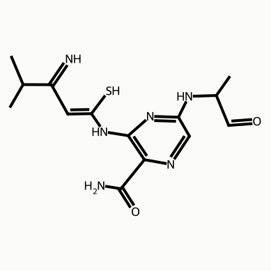 CC(C=O)Nc1cnc(C(N)=O)c(N/C(S)=C/C(=N)C(C)C)n1